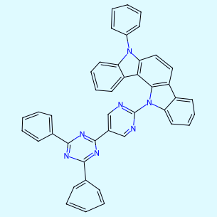 c1ccc(-c2nc(-c3ccccc3)nc(-c3cnc(-n4c5ccccc5c5ccc6c(c7ccccc7n6-c6ccccc6)c54)nc3)n2)cc1